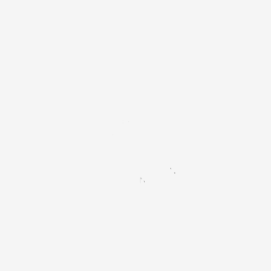 c1ccc(Oc2ccccc2CNc2ccccn2)cc1